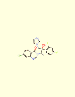 CC(n1cnc2cc(Cl)ccc2c1=O)C(O)(Cn1ccnc1)c1ccc(F)cc1F